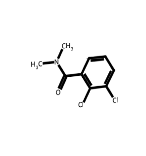 CN(C)C(=O)c1[c]ccc(Cl)c1Cl